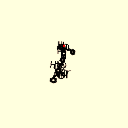 C[C@@H]1[C@@H](N(C(=O)CCc2ccccc2)C2CCN(c3ccc(C(=O)NS(=O)(=O)c4ccc(NCC5CCCCC5)c([N+](=O)[O-])c4)cc3)CC2)C[C@H]2C[C@@H]1C2(C)C